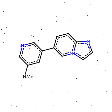 CNc1cncc(-c2ccc3nccn3c2)c1